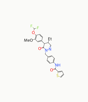 CCC1C=NN(Cc2ccc(NC(=O)c3cccs3)cc2)C(=O)C1c1ccc(OC(F)F)c(OC)c1